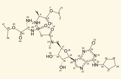 CC(C)OC(=O)[C@H](C)NP(=O)(CC(=O)N(C)C[C@H]1O[C@@H](n2cnc3c(NC4CCCC4)nc(Cl)nc32)[C@H](O)[C@@H]1O)N[C@@H](N)C(=O)OC(C)C